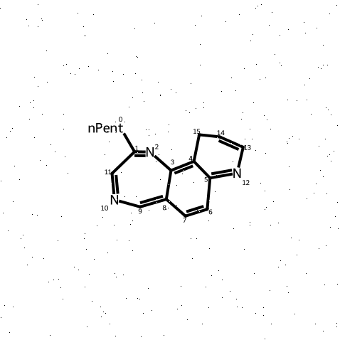 CCCCCC1=Nc2c3c(ccc2=CN=C1)=NC=CC3